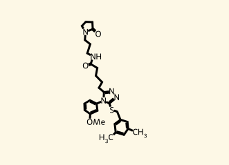 COc1cccc(-n2c(CCCCC(=O)NCCCN3CCCC3=O)nnc2SCc2cc(C)cc(C)c2)c1